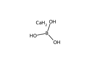 OB(O)O.[CaH2]